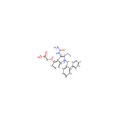 CCc1c(NC(N)=O)c2c(OCC(=O)O)cccc2n1Cc1ccccc1-c1ccccc1